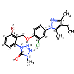 CCc1c(C)nn(-c2ccc(OCc3c(Br)cccc3-n3nnn(C)c3=O)c(Cl)c2)c1C